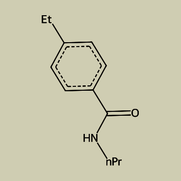 [CH2]Cc1ccc(C(=O)NCCC)cc1